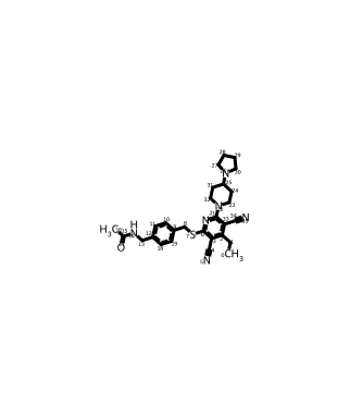 CCc1c(C#N)c(SCc2ccc(CNC(C)=O)cc2)nc(N2CCC(N3CCCC3)CC2)c1C#N